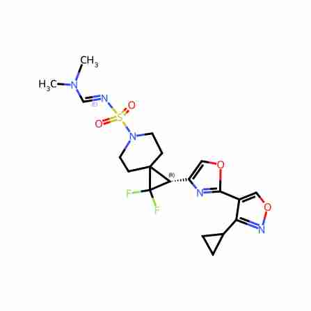 CN(C)/C=N/S(=O)(=O)N1CCC2(CC1)[C@H](c1coc(-c3conc3C3CC3)n1)C2(F)F